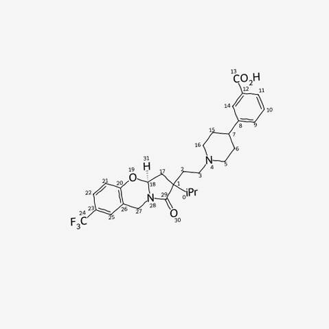 CC(C)C1(CCN2CCC(c3cccc(C(=O)O)c3)CC2)C[C@@H]2Oc3ccc(C(F)(F)F)cc3CN2C1=O